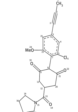 CC#Cc1cc(Cl)c(C2C(=O)CC(C(=O)N3CCCC3)CC2=O)c(OC)c1